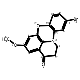 COc1cc2c3c(c1)C(=O)CCN3c1cc(Br)ccc1O2